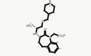 O=C(O)CN1C(=O)[C@@H](N[C@@H](COCC2CCNCC2)C(=O)O)CCc2ccccc21